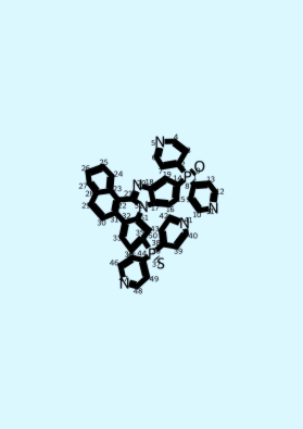 O=P(c1ccncc1)(c1ccncc1)c1ccc2c(c1)nc1c3c4ccccc4ccc3c3ccc(P(=S)(c4ccncc4)c4ccncc4)cc3n21